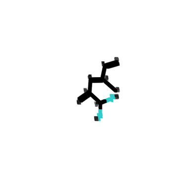 C=C/C(C)=C/C(=C)C(F)F